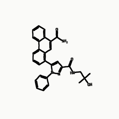 CC(C)(O)CNC(=O)c1cc(-c2cccc3c2cc(C(N)=O)c2ccccc23)n(-c2ccccc2)n1